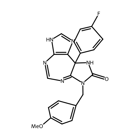 COc1ccc(CN2C(=O)NC3(c4ccc(F)cc4)C2=NC=Nc2[nH]cnc23)cc1